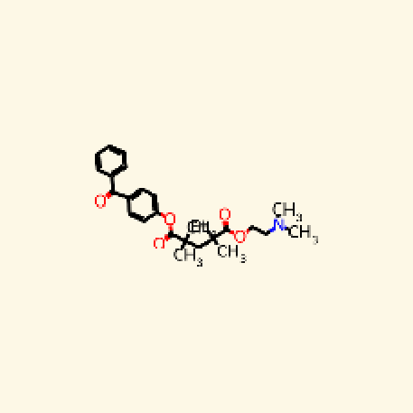 CCC(C)(CC(C)(C)C(=O)Oc1ccc(C(=O)c2ccccc2)cc1)C(=O)OCCN(C)C